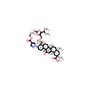 CCOC(=O)c1cnn([C@H]2CC[C@@]3(C)[C@@H](CC[C@]4(C)[C@@H]3C(=O)C=C3[C@@H]5C[C@@](C)(C(=O)O)CC[C@]5(C)CC[C@]34C)[C@]2(C)C(=O)OCc2oc(=O)oc2C(C)C)c1